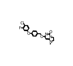 CN1CCn2c1cc(OCc1ccc(Oc3ccc(Cl)c(F)c3)cc1)nc2=O